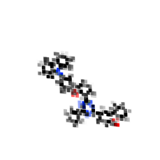 c1ccc(-c2nc(-c3ccc4oc5ccccc5c4c3)nc(-c3cccc4c3oc3ccc(-n5c6ccccc6c6ccccc65)cc34)n2)cc1